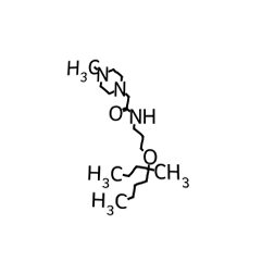 CCCCC(C)(CCC)OCCCNC(=O)CN1CCN(C)CC1